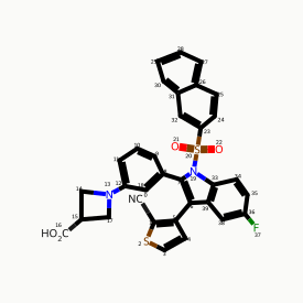 N#Cc1sccc1-c1c(-c2cccc(N3CC(C(=O)O)C3)c2)n(S(=O)(=O)c2ccc3ccccc3c2)c2ccc(F)cc12